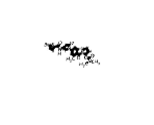 Cc1cc(N2CC(NC(=O)c3ccc(Br)s3)CC2=O)ccc1C(=O)N1CCC[C@@H]1OC(=O)N(C)C